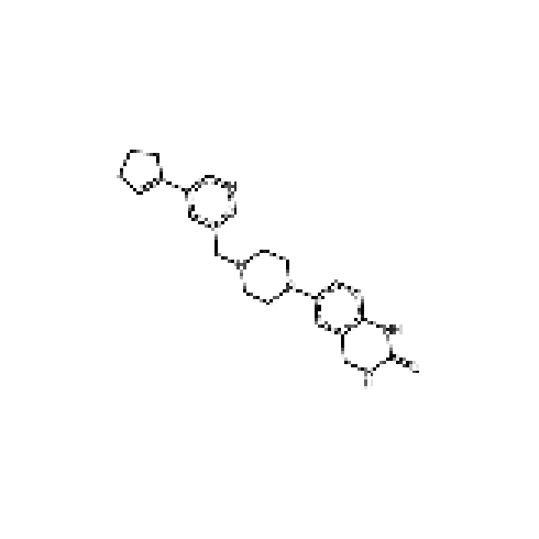 O=C1NCc2cc(N3CCN(Cc4cncc(C5=CCCC5)c4)CC3)ccc2N1